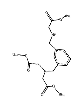 CC(C)(C)OC(=O)CNCc1cccc(CN(CC(=O)OC(C)(C)C)CC(=O)OC(C)(C)C)c1